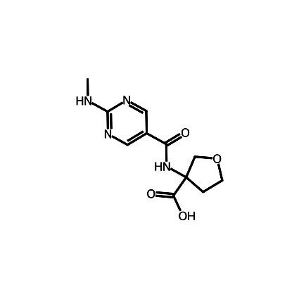 CNc1ncc(C(=O)NC2(C(=O)O)CCOC2)cn1